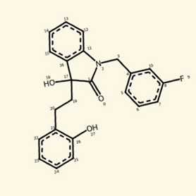 O=C1N(Cc2cccc(F)c2)c2ccccc2C1(O)CCc1ccccc1O